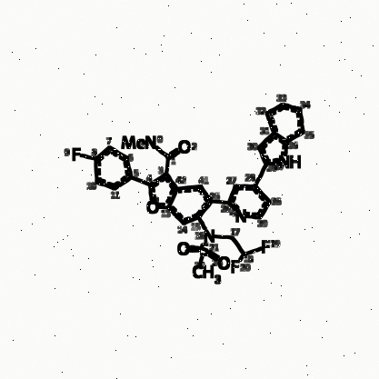 CNC(=O)c1c(-c2ccc(F)cc2)oc2cc(N(CC(F)F)S(C)(=O)=O)c(-c3cc(-c4cc5ccccc5[nH]4)ccn3)cc12